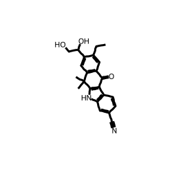 CCc1cc2c(cc1C(O)CO)C(C)(C)c1[nH]c3cc(C#N)ccc3c1C2=O